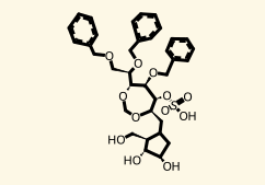 O=S(=O)(O)O[C@H]1[C@H](OCc2ccccc2)[C@@H]([C@@H](COCc2ccccc2)OCc2ccccc2)OCO[C@@H]1CC1C[C@@H](O)[C@H](O)[C@H]1CO